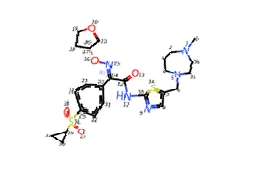 CN1CCCN(Cc2cnc(NC(=O)/C(=N/O[C@@H]3CCOC3)c3ccc(S(=O)(=O)C4CC4)cc3)s2)CC1